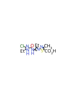 CCC1NC(C(=O)N[C@@H]2CN(c3nc(C)c(C(=O)O)s3)[C@@H]2CC)=NC1Cl